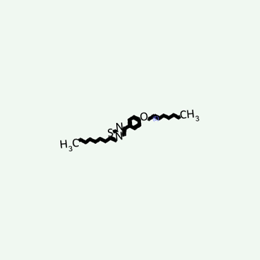 CCCCC/C=C/COc1ccc(-c2cn3cc(CCCCCCC)sc3n2)cc1